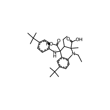 CCC1C(Nc2ccc(C(C)(C)C)cc2)(C(=O)O)c2cc(C(C)(C)C)ccc2N(CC)C1(C)C(=O)O